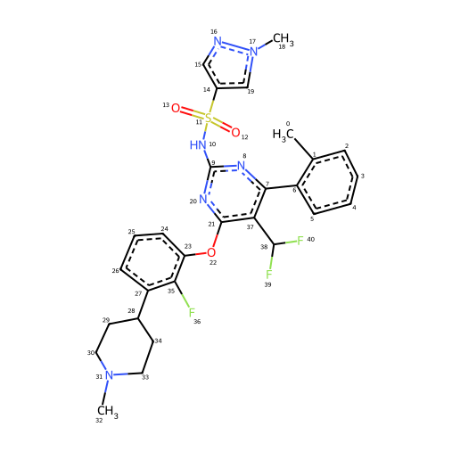 Cc1ccccc1-c1nc(NS(=O)(=O)c2cnn(C)c2)nc(Oc2cccc(C3CCN(C)CC3)c2F)c1C(F)F